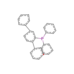 c1ccc(-c2ccc(-c3ccccc3)c(P(c3ccccc3)c3ccccc3)c2)cc1